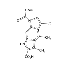 CCc1cn(C(=O)OC)c2cc3[nH]c(C(=O)O)c(C)c3c(C)c12